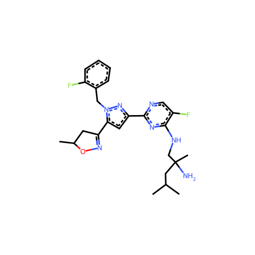 CC(C)CC(C)(N)CNc1nc(-c2cc(C3=NOC(C)C3)n(Cc3ccccc3F)n2)ncc1F